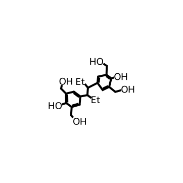 CCC(c1cc(CO)c(O)c(CO)c1)C(CC)c1cc(CO)c(O)c(CO)c1